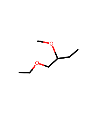 [CH2]CC(COCC)OC